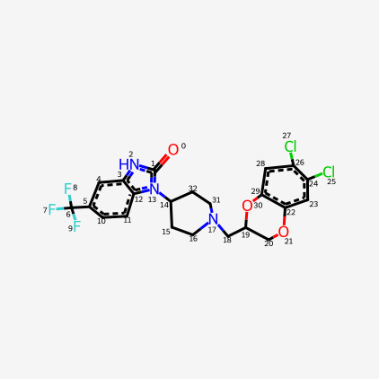 O=c1[nH]c2cc(C(F)(F)F)ccc2n1C1CCN(CC2COc3cc(Cl)c(Cl)cc3O2)CC1